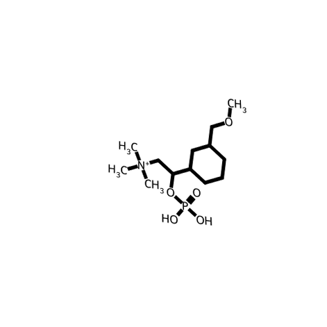 COCC1CCCC(C(C[N+](C)(C)C)OP(=O)(O)O)C1